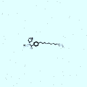 CCCCCCCCCCc1ccc(C(=O)N(C)[C@@H]2CCNC2)cc1